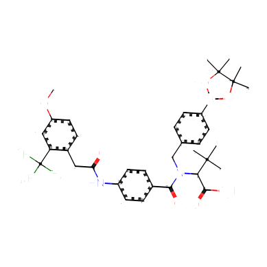 COc1ccc(CC(=O)Nc2ccc(C(=O)N(Cc3ccc(B4OC(C)(C)C(C)(C)O4)cc3)C(C(=O)O)C(C)(C)C)cc2)c(C(F)(F)F)c1